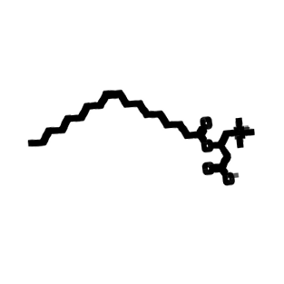 CCCCCCCC/C=C\CCCCCCCC(=O)O[C@H](CC(=O)[O-])C[N+](C)(C)C